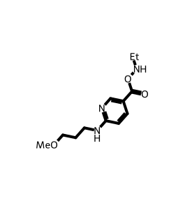 CCNOC(=O)c1ccc(NCCCOC)nc1